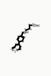 C=C/C=C(\C=C/N)C1C=CC(CNCCCCCCCCCCCCC)=CC1